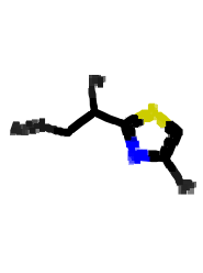 CC(=O)NCC(c1nc(C(C)C)cs1)C(C)C